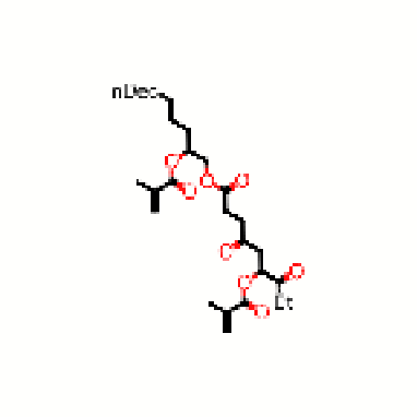 C=C(C)C(=O)OC(CCCCCCCCCCCCC)COC(=O)CCC(=O)CC(OC(=O)C(=C)C)C(=O)CC